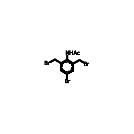 CC(=O)Nc1c(CBr)cc(Br)cc1CBr